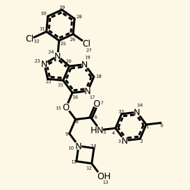 Cc1cnc(NC(=O)C(CN2CC(O)C2)Oc2ncnc3c2cnn3-c2c(Cl)cccc2Cl)cn1